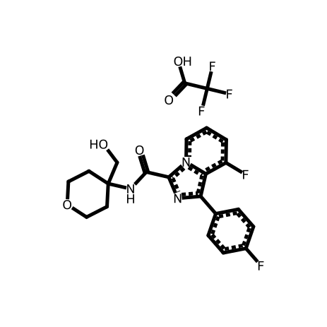 O=C(NC1(CO)CCOCC1)c1nc(-c2ccc(F)cc2)c2c(F)cccn12.O=C(O)C(F)(F)F